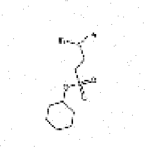 CC(C)N(CCS(=O)(=O)OC1CCCCC1)C(C)C